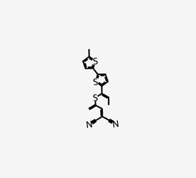 C=C(C=C(C#N)C#N)S/C(=C\C)c1ccc(-c2ccc(C)s2)s1